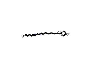 CCCCC/C=C/C/C=C/CCCCCCCC1(O)OCC(O)CO1